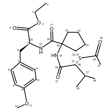 CCOC(=O)[C@H](Cc1ccc(OC)cc1)NC(=O)C1(NC(=O)[C@H](SC(C)=O)C(C)C)CCCC1